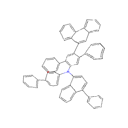 c1ccc(-c2ccc(N(c3cc(-c4ccccc4)c(-c4cc5ccccc5c5ccccc45)cc3-c3ccccc3)c3ccc(-c4ccccc4)c4ccccc34)cc2)cc1